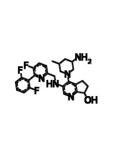 CC1CC(N)CN(c2c(NCc3ccc(F)c(-c4c(F)cccc4F)n3)cnc3c2CCC3O)C1